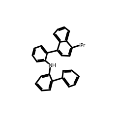 CC(C)c1ccc(-c2ccccc2Nc2ccccc2-c2ccccc2)c2ccccc12